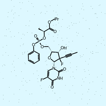 CC#CC1(F)[C@@H](O)[C@@H](COP(=O)(Oc2ccccc2)O[C@@H](C)C(=O)OC(C)C)O[C@H]1n1cc(F)c(=O)[nH]c1=O